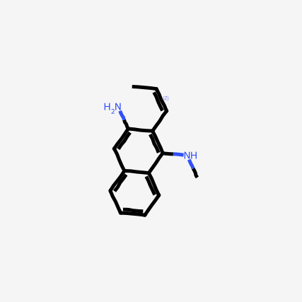 C/C=C\c1c(N)cc2ccccc2c1NC